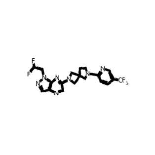 FC(F)Cn1ncc2ncc(N3CC4(CCN(c5ccc(C(F)(F)F)cn5)C4)C3)nc21